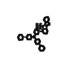 CC1(C)c2c(-c3cccc(N(c4ccc(-c5ccccc5)cc4)c4ccc(-c5ccccc5)cc4)c3)cccc2-c2sc3ccccc3c21